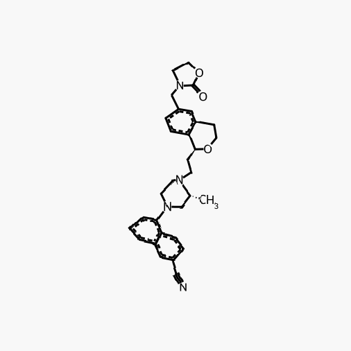 C[C@@H]1CN(c2cccc3cc(C#N)ccc23)CCN1CC[C@@H]1OCCc2cc(CN3CCOC3=O)ccc21